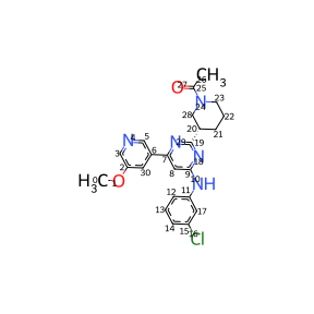 COc1cncc(-c2cc(Nc3cccc(Cl)c3)nc([C@H]3CCCN(C(C)=O)C3)n2)c1